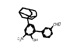 O=Cc1cccc(-c2cc(C34CC5CC(CC(C5)C3)C4)cc([N+](=O)[O-])c2O)c1